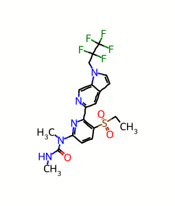 CCS(=O)(=O)c1ccc(N(C)C(=O)NC)nc1-c1cc2ccn(CC(F)(F)C(F)(F)F)c2cn1